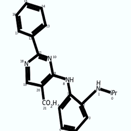 CC(C)Nc1ccccc1Nc1nc(-c2ccccc2)ncc1C(=O)O